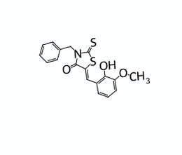 COc1cccc(/C=C2\SC(=S)N(Cc3ccccc3)C2=O)c1O